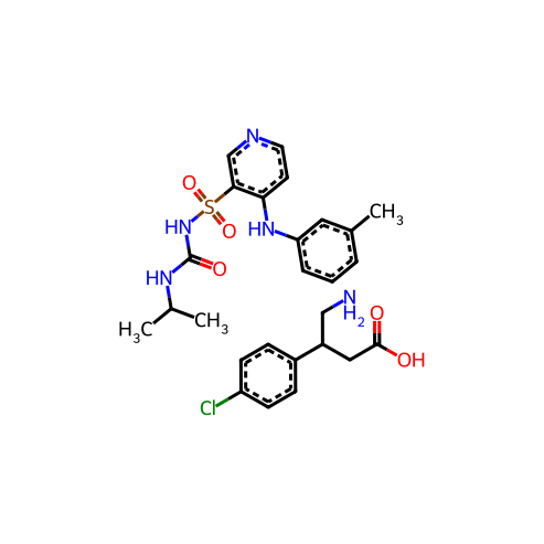 Cc1cccc(Nc2ccncc2S(=O)(=O)NC(=O)NC(C)C)c1.NCC(CC(=O)O)c1ccc(Cl)cc1